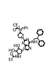 CCCN(C(=O)C(F)(F)F)[C@@H]1CCN(c2nc(NCC(c3ccccc3)c3ccccc3)c3ncn([C@@H]4C[C@H](NC(=O)CC)[C@@H](O)[C@H]4O)c3n2)C1